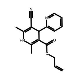 C=CCOC(=O)C1=C(C)NC(C)=C(C#N)C1c1ccccn1